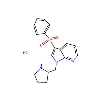 Cl.O=S(=O)(c1ccccc1)c1cn(CC2CCCN2)c2ncccc12